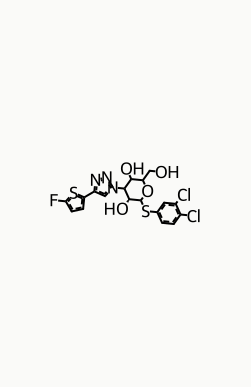 OCC1OC(Sc2ccc(Cl)c(Cl)c2)[C@@H](O)C(n2cc(-c3ccc(F)s3)nn2)C1O